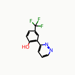 Oc1ccc(C(F)(F)F)cc1-c1cccnn1